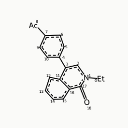 CCn1cc(-c2ccc(C(C)=O)cc2)c2ccccc2c1=O